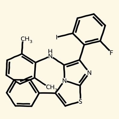 Cc1cccc(C)c1Nc1c(-c2c(F)cccc2I)nc2scc(-c3ccccc3)n12